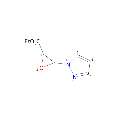 CCOC(=O)C1OC1n1cccn1